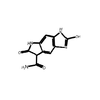 NC(=O)C1C(=O)Nc2cc3[nH]c(O)nc3cc21